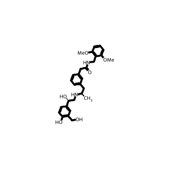 COc1cccc(OC)c1CNC(=O)Cc1cccc(C[C@@H](C)NC[C@@H](O)c2ccc(O)c(CO)c2)c1